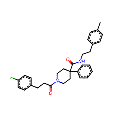 Cc1ccc(CCNC(=O)C2(c3ccccc3)CCN(C(=O)CCc3ccc(F)cc3)CC2)cc1